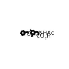 CC(=O)NC(=Cc1cc(C)c(OCc2ccccc2)c(C)c1)C(=O)O